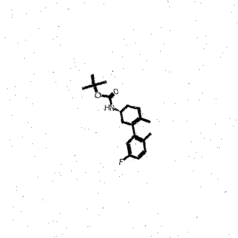 CC1=C(c2cc(F)ccc2C)C[C@@H](NC(=O)OC(C)(C)C)CC1